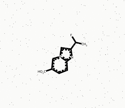 CC(F)c1cn2cc(C(=O)O)ccc2n1